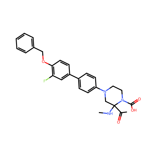 CNC1(C(C)=O)CN(c2ccc(-c3ccc(OCc4ccccc4)c(F)c3)cc2)CCN1C(=O)O